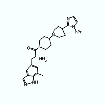 CCCn1ccnc1C1CCN(C2CCN(C(=O)[C@H](N)Cc3cc(C)c4[nH]ncc4c3)CC2)CC1